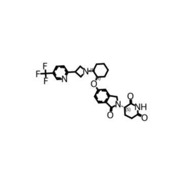 O=C1CC[C@H](N2Cc3cc(O[C@@H]4CCCC[C@@H]4N4CC(c5ccc(C(F)(F)F)cn5)C4)ccc3C2=O)C(=O)N1